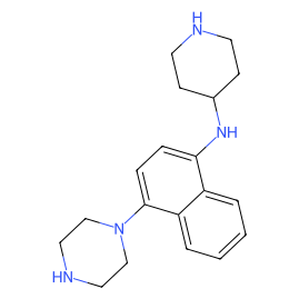 c1ccc2c(N3CCNCC3)ccc(NC3CCNCC3)c2c1